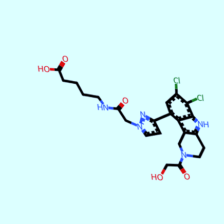 O=C(O)CCCCNC(=O)Cn1ccc(-c2cc(Cl)c(Cl)c3[nH]c4c(c23)CN(C(=O)CO)CC4)n1